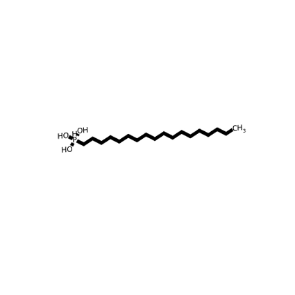 CCCCCCCCCCCCCCCCCC[PH](O)(O)O